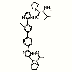 CC(=O)C1C2CCC(C2)[C@H]1c1cnc(-c2ccc(-c3ccc(-c4ncc([C@@H]5CCCN5C(=O)[C@@H](N)C(C)C)[nH]4)c(C)c3)cc2)[nH]1